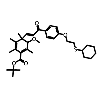 COC1C(C)=C(C(=O)OC(C)(C)C)C(C)=C(C)C1(C)C=CC(=O)c1ccc(OCCSC2CCCCC2)cc1